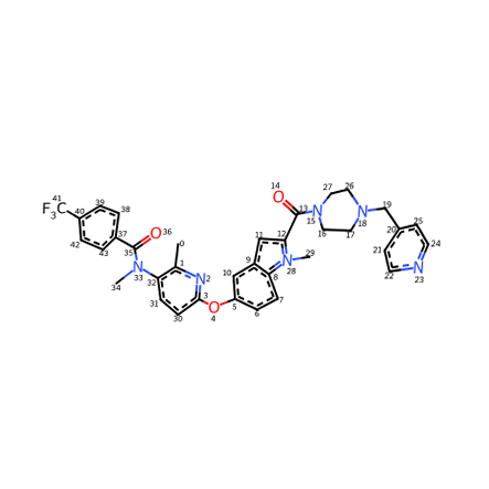 Cc1nc(Oc2ccc3c(c2)cc(C(=O)N2CCN(Cc4ccncc4)CC2)n3C)ccc1N(C)C(=O)c1ccc(C(F)(F)F)cc1